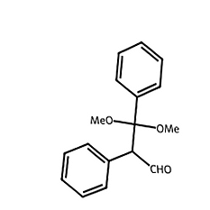 COC(OC)(c1ccccc1)C(C=O)c1ccccc1